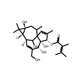 CC1=CC23C(C)C[C@]4(O)[C@H]([C@H](C=C(CO)[C@@H](O)[C@]2(O)[C@H]1OC(=O)C(C)=C(C)C)C3O)C4(C)C